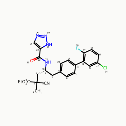 CCOC(=O)C(C)(C#N)C[C@@H](Cc1ccc(-c2cc(Cl)ccc2F)cc1)NC(=O)c1cnn[nH]1